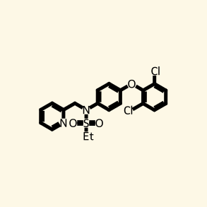 CCS(=O)(=O)N(Cc1ccccn1)c1ccc(Oc2c(Cl)cccc2Cl)cc1